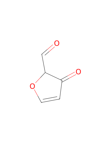 O=CC1OC=CC1=O